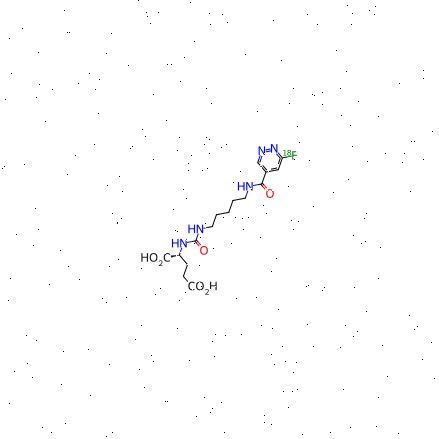 O=C(O)CC[C@H](NC(=O)NCCCCCNC(=O)c1cnnc([18F])c1)C(=O)O